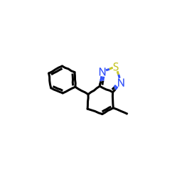 CC1=CCC(c2ccccc2)c2nsnc21